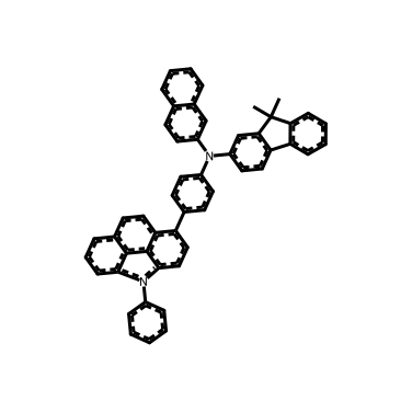 CC1(C)c2ccccc2-c2ccc(N(c3ccc(-c4ccc5c6c4ccc4cccc(c46)n5-c4ccccc4)cc3)c3ccc4ccccc4c3)cc21